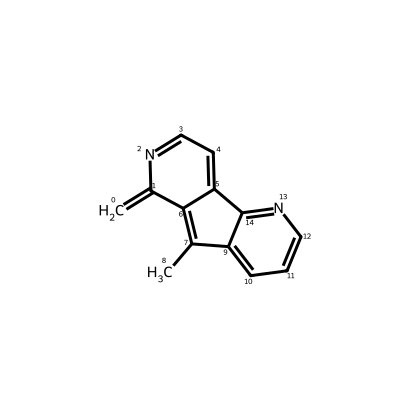 C=c1nccc2c1=C(C)c1cccnc1-2